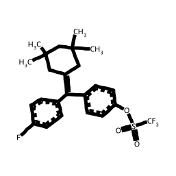 CC1(C)CC(=C(c2ccc(F)cc2)c2ccc(OS(=O)(=O)C(F)(F)F)cc2)CC(C)(C)C1